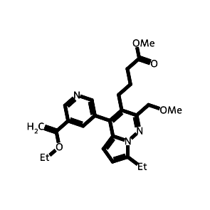 C=C(OCC)c1cncc(-c2c(CCCC(=O)OC)c(COC)nn3c(CC)ccc23)c1